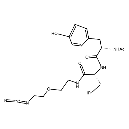 CC(=O)N[C@@H](Cc1ccc(O)cc1)C(=O)N[C@H](CC(C)C)C(=O)NCCOCCN=[N+]=[N-]